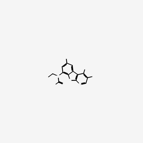 CCN(C(=O)O)c1cc(F)cc2c1[nH]c1ncc(Cl)c(Cl)c12